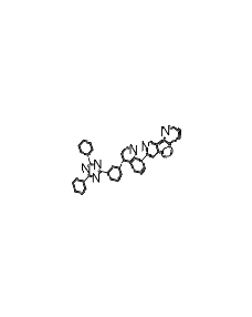 c1ccc(-c2nc(-c3ccccc3)nc(-c3cccc(-c4ccnc5c(-c6cc7oc8cccnc8c7cn6)cccc45)c3)n2)cc1